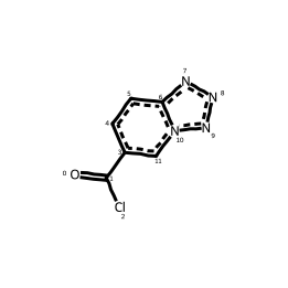 O=C(Cl)c1ccc2nnnn2c1